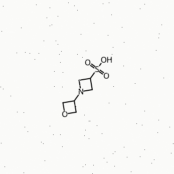 O=S(=O)(O)C1CN(C2COC2)C1